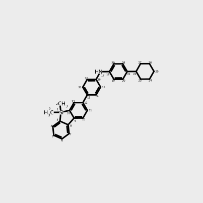 C[Si]1(C)c2ccccc2-c2ccc(-c3ccc(Nc4ccc(C5CCCCC5)cc4)cc3)cc21